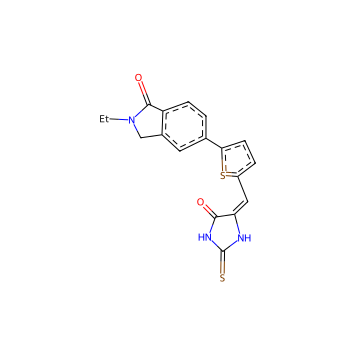 CCN1Cc2cc(-c3ccc(C=C4NC(=S)NC4=O)s3)ccc2C1=O